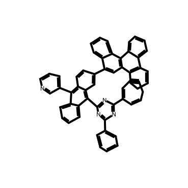 C1#CCC=CC(c2nc(-c3ccccc3)nc(-c3c4ccccc4c(-c4cccnc4)c4ccc(-c5cc6c7c(c8ccccc8c6c6ccccc56)C=CCC7)cc34)n2)=C1